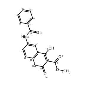 COC(=O)c1c(O)c2cc(NC(=O)c3ccccc3)ccc2sc1=O